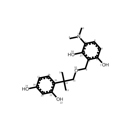 CN(C)c1ccc(O)c(COCC(C)(C)c2ccc(O)cc2O)c1O